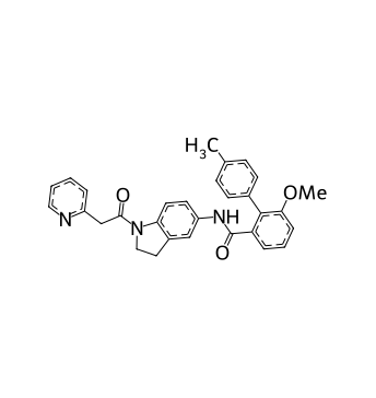 COc1cccc(C(=O)Nc2ccc3c(c2)CCN3C(=O)Cc2ccccn2)c1-c1ccc(C)cc1